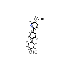 CCCCCCCCCc1ccc(-c2ccc(C3CCC(C=O)CC3)cc2)nc1